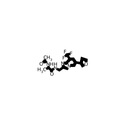 CC(=O)NC(C)C(=O)NCc1cn2cc(-c3ccoc3)cc(C(F)(F)F)c2n1